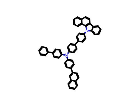 c1ccc(-c2ccc(N(c3ccc(-c4ccc(-n5c6ccccc6c6ccc7ccccc7c65)cc4)cc3)c3ccc(-c4ccc5ccccc5c4)cc3)cc2)cc1